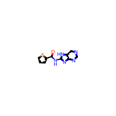 O=C(Nc1nc2ncncc2[nH]1)c1cccs1